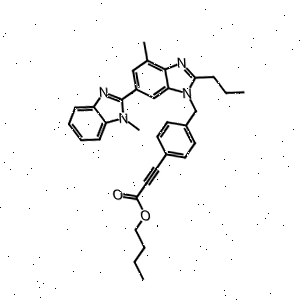 CCCCOC(=O)C#Cc1ccc(Cn2c(CCC)nc3c(C)cc(-c4nc5ccccc5n4C)cc32)cc1